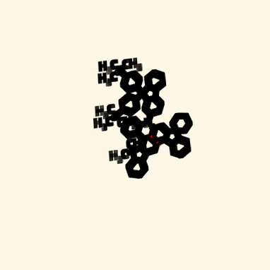 CC(C)(C)c1ccc(C2(c3ccc(C(C)(C)C)cc3)c3ccccc3-c3ccc(N(c4ccc5c(c4)C4(CCCCC4)c4ccccc4-5)c4ccccc4-c4cccc5c4C(C)(C)c4ccccc4-5)cc32)cc1